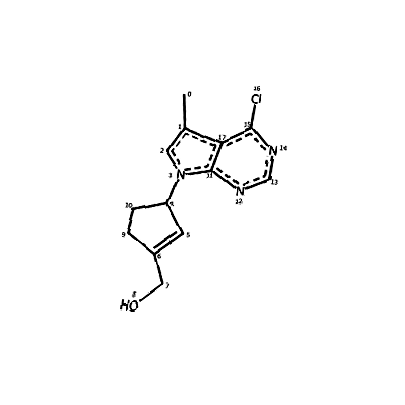 Cc1cn(C2C=C(CO)CC2)c2ncnc(Cl)c12